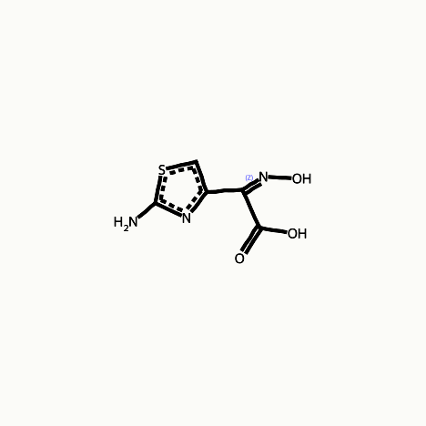 Nc1nc(/C(=N/O)C(=O)O)cs1